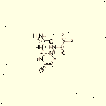 C=C(C)C(=O)Nn1ccc(=O)nc1NC(N)=O